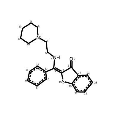 O=C1/C(=C(\NCCN2CCCCC2)c2ccccc2)Sc2ccccc21